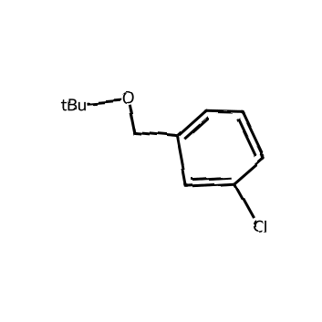 CC(C)(C)OCc1cccc(Cl)c1